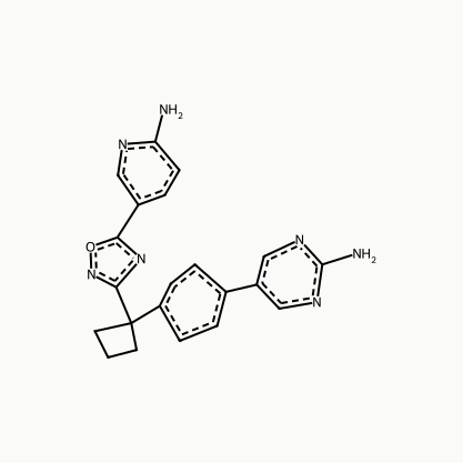 Nc1ccc(-c2nc(C3(c4ccc(-c5cnc(N)nc5)cc4)CCC3)no2)cn1